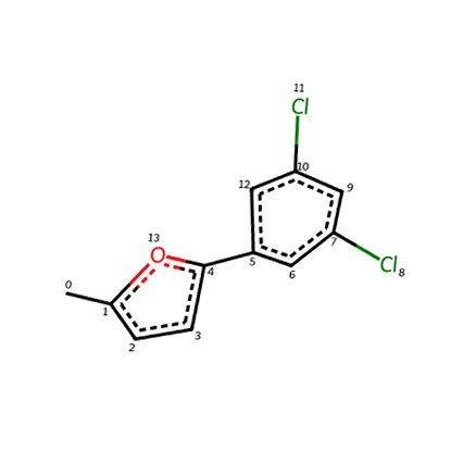 Cc1ccc(-c2cc(Cl)cc(Cl)c2)o1